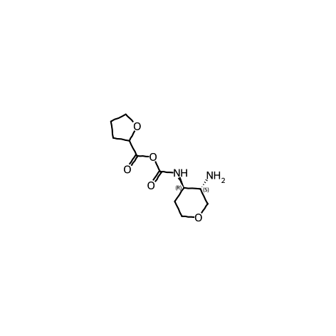 N[C@@H]1COCC[C@H]1NC(=O)OC(=O)C1CCCO1